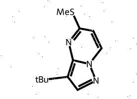 CSc1ccn2ncc(C(C)(C)C)c2n1